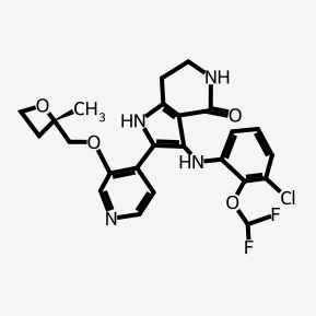 C[C@@]1(COc2cnccc2-c2[nH]c3c(c2Nc2cccc(Cl)c2OC(F)F)C(=O)NCC3)CCO1